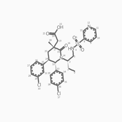 CC[C@@H](CNS(=O)(=O)c1cccnc1)N1C(=O)[C@@](C)(CC(=O)O)C[C@H](c2cccc(Cl)c2)[C@H]1c1ccc(Cl)cc1